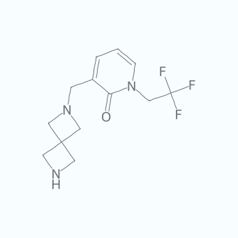 O=c1c(CN2CC3(CNC3)C2)cccn1CC(F)(F)F